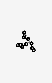 c1cc(-c2ccc3ccccc3c2)cc(N(c2ccc(-c3cccc4c3ccc3ccccc34)cc2)c2cccc(-c3cccc4c3oc3ccccc34)c2)c1